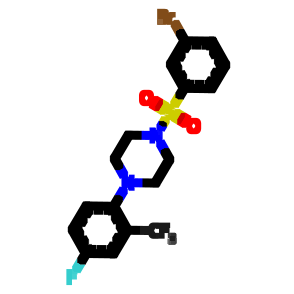 O=S(=O)(c1cccc(Br)c1)N1CCN(c2ccc(F)cc2C(F)(F)F)CC1